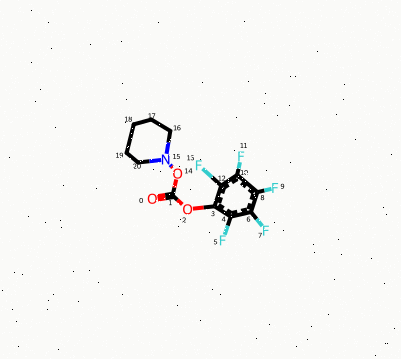 O=C(Oc1c(F)c(F)c(F)c(F)c1F)ON1CCCCC1